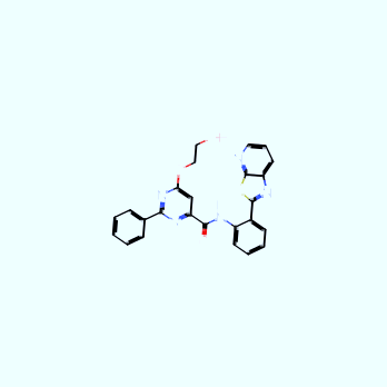 O=C(Nc1ccccc1-c1nc2cccnc2s1)c1cc(OCCO)nc(-c2ccccc2)n1